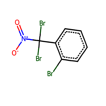 O=[N+]([O-])C(Br)(Br)c1ccccc1Br